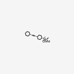 C=C[Si](C)(OC)c1ccc(C#Cc2ccccc2)cc1